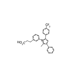 Cc1c(-c2ccccc2)cc(-c2ccc(C(F)(F)F)cc2)n1-c1cccc(CCC(=O)O)c1